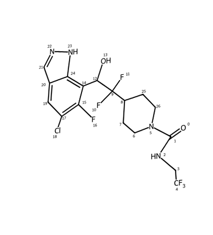 O=C(NCC(F)(F)F)N1CCC(C(F)(F)C(O)c2c(F)c(Cl)cc3cn[nH]c23)CC1